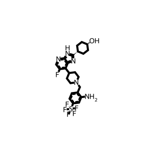 Nc1cc(S(F)(F)(F)(F)F)ccc1CN1CCC(c2c(F)cnc3[nH]c([C@H]4CC[C@@H](O)CC4)nc23)CC1